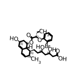 CC[C@H](Oc1ccccc1Br)C(=O)O[C@H]1C[C@H](O)C=C2C=C[C@@H](C)[C@H](CC[C@@H](O)C[C@@H](O)CC(=O)O)[C@H]21